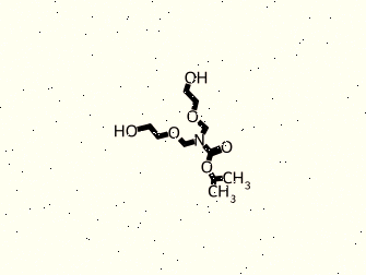 CC(C)OC(=O)N(COCCO)COCCO